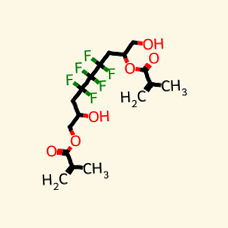 C=C(C)C(=O)OCC(O)CC(F)(F)C(F)(F)C(F)(F)CC(CO)OC(=O)C(=C)C